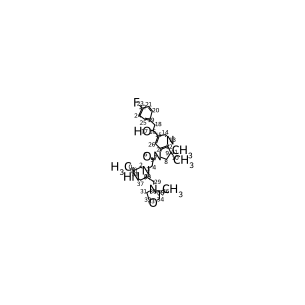 C[C@@H]1CN(CC(=O)N2CC(C)(C)c3ncc(C(O)Cc4ccc(F)cc4)cc32)[C@@H](CN2CCOC[C@H]2C)CN1